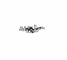 CC(=O)COCC(=O)Nc1ncnn2c([C@]3(C#N)O[C@H](CO)[C@@H](C)[C@H]3O)ccc12